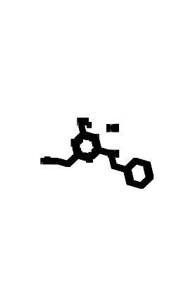 CCCCCCCCCCCc1nc(N)nc(NCC2=CCC=CC2)n1.Cl